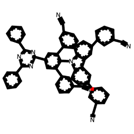 N#Cc1cccc(-c2ccc3c(c2)c2cc(-c4cccc(C#N)c4)ccc2n3-c2c(-c3cccc(C#N)c3)cc(-c3nc(-c4ccccc4)nc(-c4ccccc4)n3)cc2-c2cccc(C#N)c2)c1